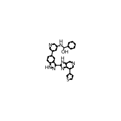 OC(Nc1cncc(-c2ccc3[nH]nc(-c4nc5c(-c6ccsc6)cncc5[nH]4)c3c2)c1)c1ccccc1